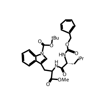 COC(=O)C(Cc1cn(C(=O)OC(C)(C)C)c2ccccc12)NC(=O)[C@@H](CC(C)C)NC(=O)OCc1ccccc1